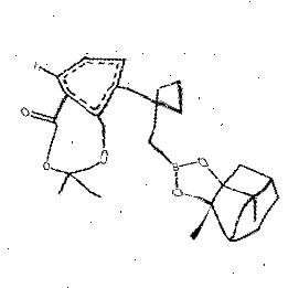 CC1(C)OC(=O)c2c(F)ccc(C3(CB4OC56CC7CC(C75C)[C@]6(C)O4)CC3)c2O1